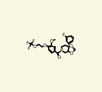 COc1cc(C(=O)N2CC[C@]3(c4cccc(F)c4)OCOC3C2)ccc1OCCOC(F)(F)F